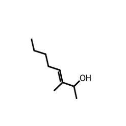 CCCC/C=C(\C)C(C)O